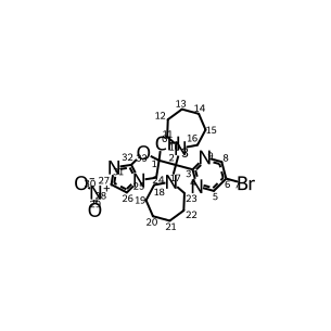 CC1(C(c2ncc(Br)cn2)(N2CCCCCC2)N2CCCCCC2)Cn2cc([N+](=O)[O-])nc2O1